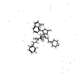 CC1CC(c2cccc3cc[nH]c23)C(NCCN2CCOCC2)(OC(=O)NCCc2ccccc2)C1